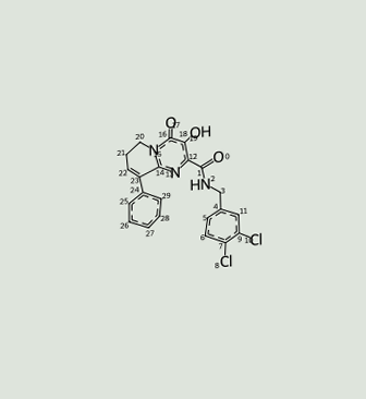 O=C(NCc1ccc(Cl)c(Cl)c1)c1nc2n(c(=O)c1O)CCC=C2c1ccccc1